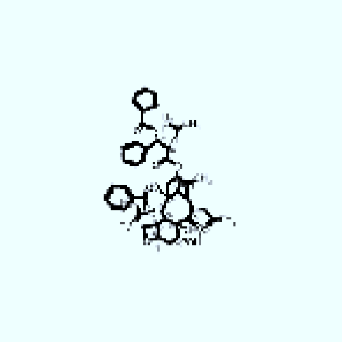 C=C(C)O[C@@]12CO[C@@H]1C[C@H](O)[C@@]1(C)C(=O)[C@H](CC(C)=O)C3=C(C)[C@@H](OC(=O)[C@H](OC(C)C)[C@@H](NC(=O)c4ccccc4)c4ccccc4)C[C@@](O)([C@@H](OC(=O)c4ccccc4)[C@H]21)C3(C)C